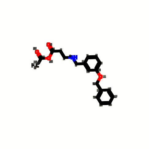 O=C(CCNCc1cccc(OCc2ccccc2)c1)OC(=O)C(F)(F)F